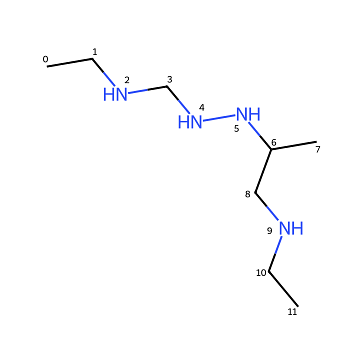 CCNCNNC(C)CNCC